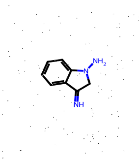 N=C1CN(N)c2ccccc21